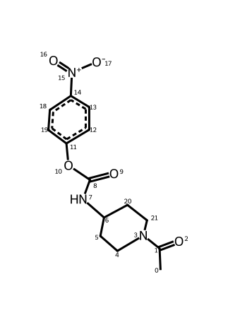 CC(=O)N1CCC(NC(=O)Oc2ccc([N+](=O)[O-])cc2)CC1